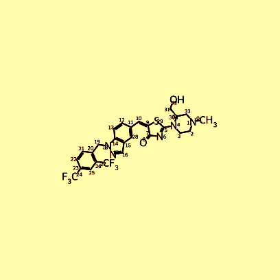 CN1CCN(C2=NC(=O)C(=Cc3ccc4c(cnn4Cc4ccc(C(F)(F)F)cc4C(F)(F)F)c3)S2)[C@@H](CO)C1